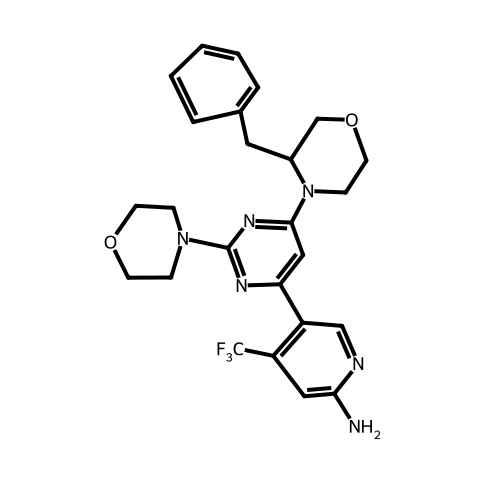 Nc1cc(C(F)(F)F)c(-c2cc(N3CCOCC3Cc3ccccc3)nc(N3CCOCC3)n2)cn1